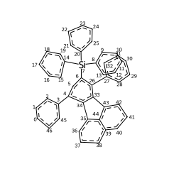 c1ccc(-c2cc([Si](c3ccccc3)(c3ccccc3)c3ccccc3)c(-c3ccccc3)c3c2-c2cccc4cccc-3c24)cc1